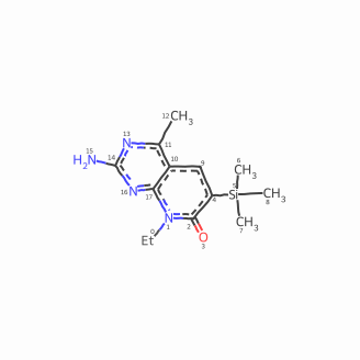 CCn1c(=O)c([Si](C)(C)C)cc2c(C)nc(N)nc21